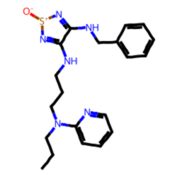 CCCN(CCCNc1n[s+]([O-])nc1NCc1ccccc1)c1ccccn1